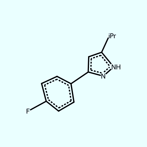 CC(C)c1cc(-c2ccc(F)cc2)n[nH]1